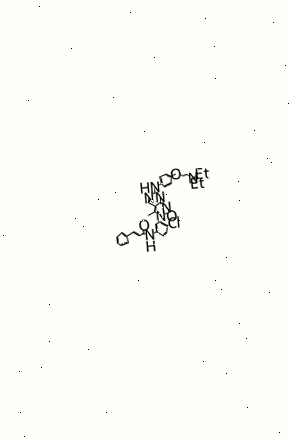 CCN(CC)CCOc1ccc(Nc2ncc3c(C)n(-c4cc(NC(=O)C=Cc5ccccc5)ccc4Cl)c(=O)nc3n2)cc1